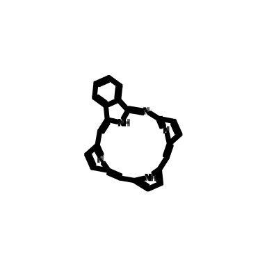 C1=Cc2cc3[nH]c(nc4nc(cc5ccc(cc1n2)[nH]5)C=C4)c1ccccc31